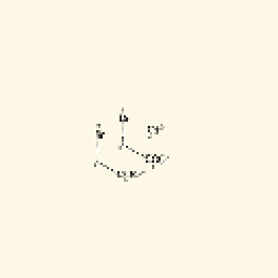 O=C([O-])CBr.O=C([O-])CBr.[Cd+2]